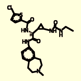 CCNC(=O)NC1CC1[C@@H](NC(=O)c1ccc(Cl)s1)C(=O)Nc1ccc2c(c1)CCN(C)CC2